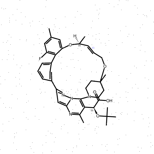 Cc1cc(F)c2c(c1)O[C@@H](C)/C=C/COC1(C)CCN(CC1)c1c([C@H](OC(C)(C)C)C(=O)O)c(C)nc3cc(nn13)-c1cccc-2c1